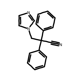 N#CC(Cn1ccnc1)(c1ccccc1)c1ccccc1